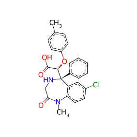 Cc1ccc(O[C@H](C(=O)O)[C@@]2(c3ccccc3)NCC(=O)N(C)c3ccc(Cl)cc32)cc1